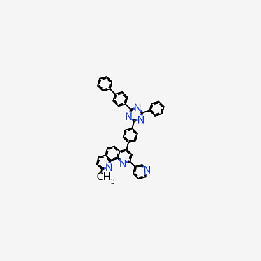 Cc1ccc2ccc3c(-c4ccc(-c5nc(-c6ccccc6)nc(-c6ccc(-c7ccccc7)cc6)n5)cc4)cc(-c4cccnc4)nc3c2n1